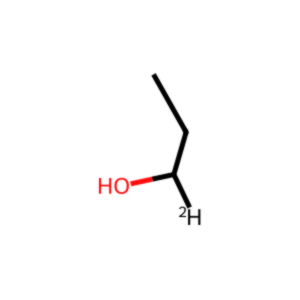 [2H]C(O)CC